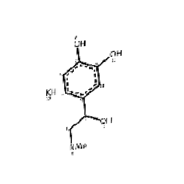 CNCC(O)c1ccc(O)c(O)c1.[KH]